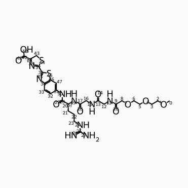 COCCOCCOCC(=O)NCC(=O)NCC(=O)N[C@@H](CCCNC(=N)N)C(=O)Nc1ccc2nc(C3=N[C@@H](C(=O)O)CS3)sc2c1